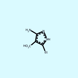 CCc1[nH]nc(N)c1C(=O)O